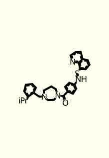 CC(C)c1ccccc1CN1CCCN(C(=O)c2ccc(NSc3cccc4cccnc34)cc2)CC1